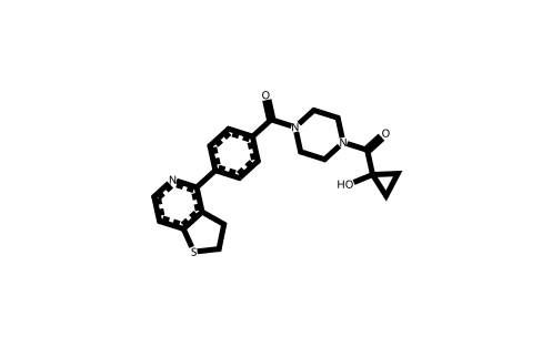 O=C(c1ccc(-c2nccc3c2CCS3)cc1)N1CCN(C(=O)C2(O)CC2)CC1